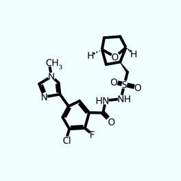 Cn1cnc(-c2cc(Cl)c(F)c(C(=O)NNS(=O)(=O)C[C@H]3C[C@H]4CC[C@@H]3O4)c2)c1